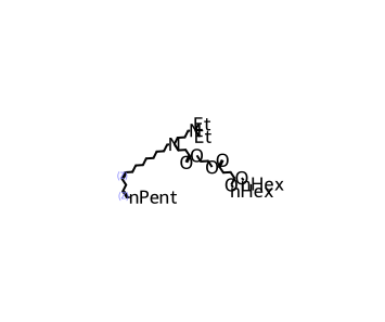 CCCCC/C=C\C/C=C\CCCCCCCCN(CCCN(CC)CC)CCC(=O)OCCOC(=O)CCC(OCCCCCC)OCCCCCC